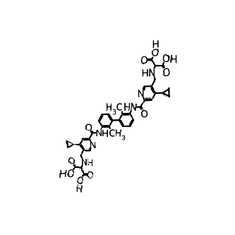 Cc1c(NC(=O)c2cc(C3CC3)c(CNC(C(=O)O)C(=O)O)cn2)cccc1-c1cccc(NC(=O)c2cc(C3CC3)c(CNC(C(=O)O)C(=O)O)cn2)c1C